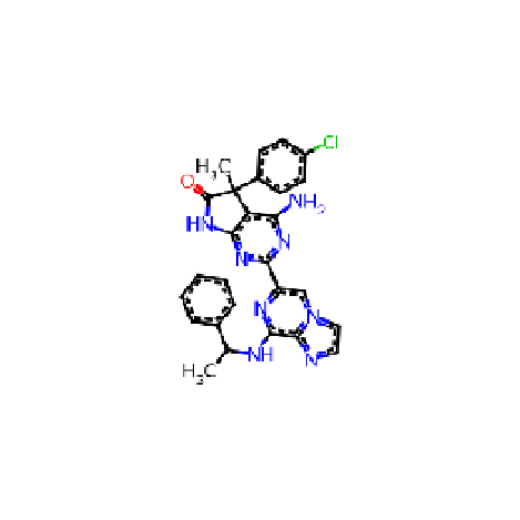 CC(Nc1nc(-c2nc(N)c3c(n2)NC(=O)C3(C)c2ccc(Cl)cc2)cn2ccnc12)c1ccccc1